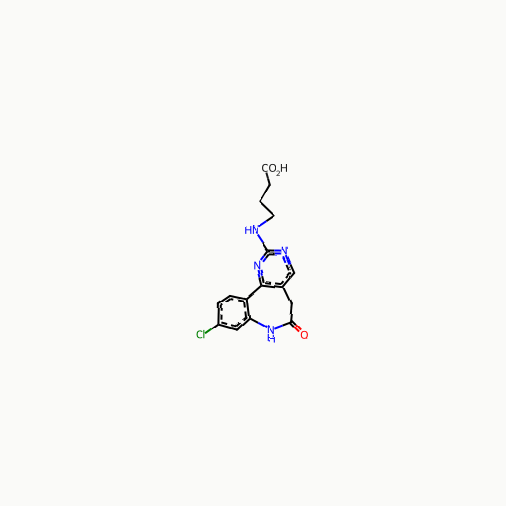 O=C(O)CCCNc1ncc2c(n1)-c1ccc(Cl)cc1NC(=O)C2